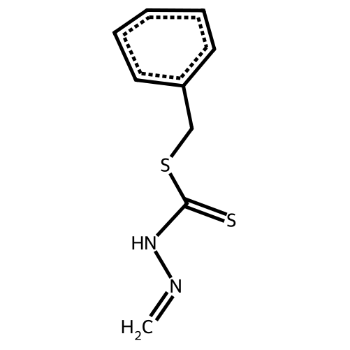 C=NNC(=S)SCc1ccccc1